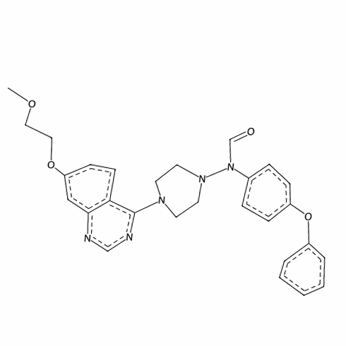 COCCOc1ccc2c(N3CCN(N(C=O)c4ccc(Oc5ccccc5)cc4)CC3)ncnc2c1